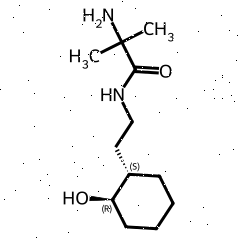 CC(C)(N)C(=O)NCC[C@@H]1CCCC[C@H]1O